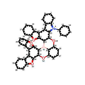 c1ccc(-n2c3ccccc3c3c4c(oc5ccccc54)c4c(c32)Oc2cccc3c2B4c2c(c4oc5ccccc5c4c4c2oc2ccccc24)O3)cc1